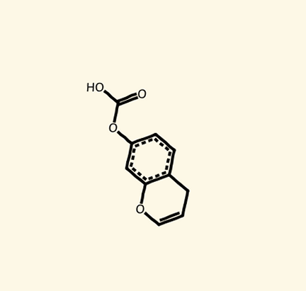 O=C(O)Oc1ccc2c(c1)OC=CC2